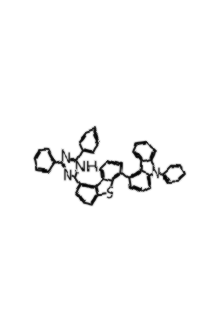 c1ccc(C2=NC(c3cccc4sc5c(-c6cccc7c6c6ccccc6n7-c6ccccc6)cccc5c34)NC(c3ccccc3)=N2)cc1